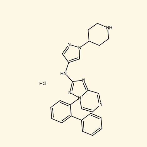 C1=C[N+]2(c3ccccc3-c3ccccc3)N=C(Nc3cnn(C4CCNCC4)c3)N=C2C=N1.Cl